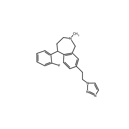 CN1CCC(c2ccccc2F)c2ccc(CCn3ccnn3)cc2C1